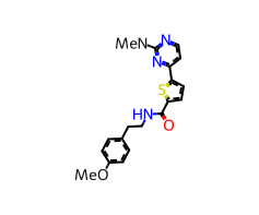 CNc1nccc(-c2ccc(C(=O)NCCc3ccc(OC)cc3)s2)n1